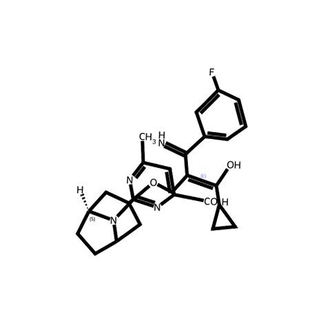 Cc1cc(C(=O)O)nc(N2C3CC[C@H]2CC(OC/C(C(=N)c2cccc(F)c2)=C(/O)C2CC2)C3)n1